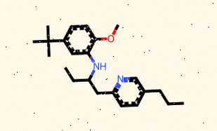 CCCc1ccc(CC(CC)Nc2cc(C(C)(C)C)ccc2OC)nc1